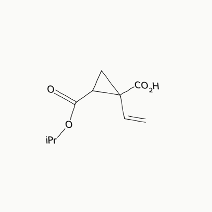 C=CC1(C(=O)O)CC1C(=O)OC(C)C